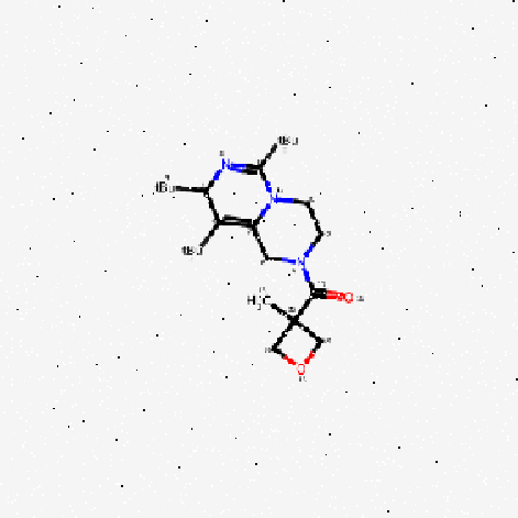 CC(C)(C)C1=NC(C(C)(C)C)C(C(C)(C)C)=C2CN(C(=O)C3(C)COC3)CCN12